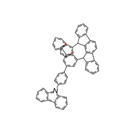 c1ccc(-c2cc(-c3ccc(-n4c5ccccc5c5ccccc54)cc3)cc(C3c4ccccc4-c4ccc5c(c43)C(c3ccccc3)c3ccccc3-5)c2)cc1